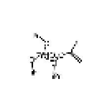 C=C(C)C(=O)O.CC(C)[O][Zr]([O]C(C)C)[O]C(C)C